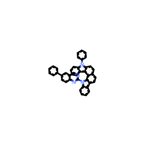 c1ccc(-c2ccc3nc(-n4c5ccccc5c5ccc6ccc7c(c8ccccc8n7-c7ccccc7)c6c54)ncc3c2)cc1